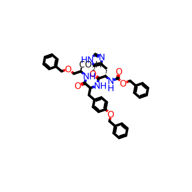 O=C(N[C@@H](Cc1c[nH]cn1)C(=O)NC(Cc1ccc(OCc2ccccc2)cc1)C(=O)N[C@@H](COCc1ccccc1)C(=O)O)OCc1ccccc1